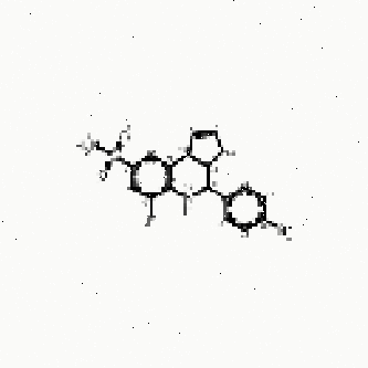 NS(=O)(=O)c1cc(F)c2c(c1)C1C=CCC1C(c1ccc(Br)cc1)N2